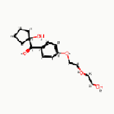 O=C(c1ccc(OCCOCCO)cc1)C1(O)CCCC1